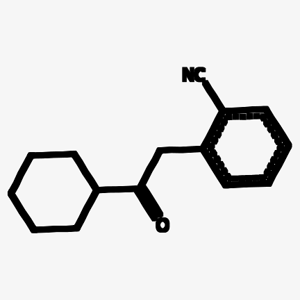 N#Cc1ccccc1CC(=O)C1CCCCC1